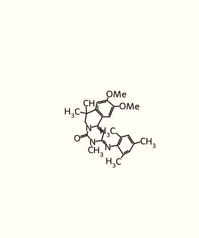 COc1cc2c(cc1OC)C(C)(C)Cn1c-2cc(=Nc2c(C)cc(C)cc2C)n(C)c1=O